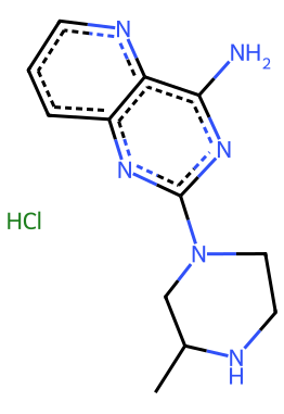 CC1CN(c2nc(N)c3ncccc3n2)CCN1.Cl